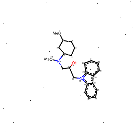 COC1CCCC(N(CC(O)Cn2c3ccccc3c3ccccc32)OC)C1